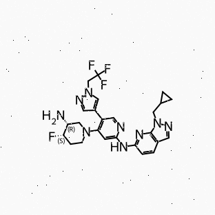 N[C@@H]1CN(c2cc(Nc3ccc4cnn(CC5CC5)c4n3)ncc2-c2cnn(CC(F)(F)F)c2)CC[C@@H]1F